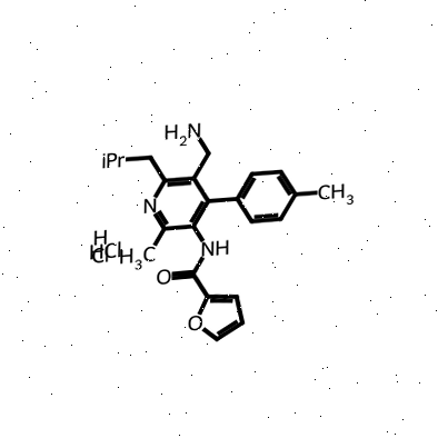 Cc1ccc(-c2c(CN)c(CC(C)C)nc(C)c2NC(=O)c2ccco2)cc1.Cl.Cl